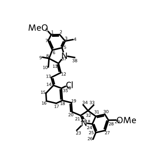 COc1cc(C)c2c(c1)C(C)(C)C(=CC=C1CCCC(C=CC3=[N+](C)c4c(C)cc(OC)cc4C3(C)C)=C1Cl)N2C